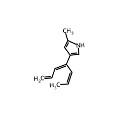 C=C/C=C(\C=C/C)c1c[nH]c(C)c1